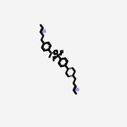 C/C=C/CCc1ccc(C(C)OC(F)(F)c2ccc(C3CCC(CC/C=C/C)CC3)cc2)cc1